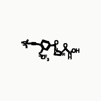 C[Si](C)(C)C#Cc1ccc(C(=O)N2CC[C@@H]2C(=O)NO)cc1SC(F)(F)F